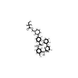 CCC(C)(C)C(=O)OCN1CCCC(c2ccc(C(=O)Nc3ccc(C)c(Nc4nccc(-c5cccnc5)n4)c3)cc2)C1